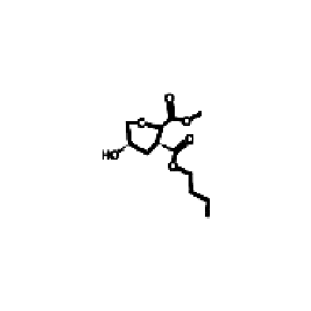 CCCCOC(=O)[C@@H]1C[C@H](O)CC[C@H]1C(=O)OC